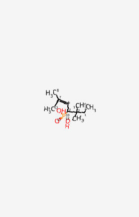 CCC(C)(C)C(C=C(C)C)P(=O)(O)O